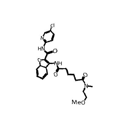 COCCN(C)C(=O)CCCCC(=O)NC1=C(C(=O)Nc2ccc(Cl)cn2)OC2C=CC=CC12